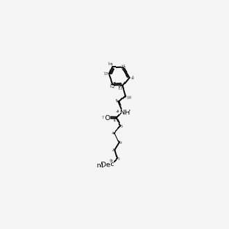 CCCCCCCCCCCCCCCC(=O)NCCc1ccccc1